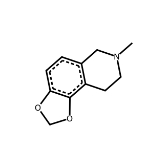 CN1CCc2c(ccc3c2OCO3)C1